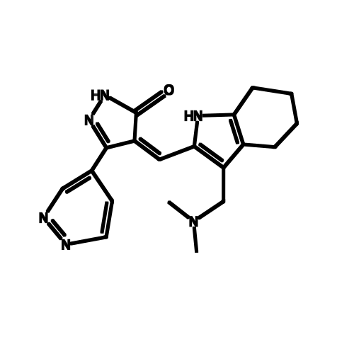 CN(C)Cc1c(C=C2C(=O)NN=C2c2ccnnc2)[nH]c2c1CCCC2